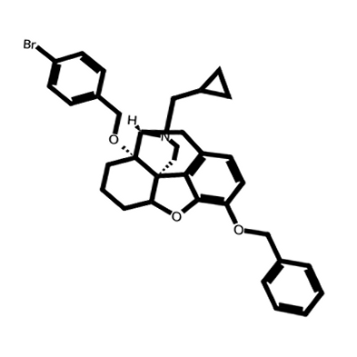 Brc1ccc(CO[C@@]23CCCC4Oc5c(OCc6ccccc6)ccc6c5[C@@]42CCN(CC2CC2)[C@@H]3C6)cc1